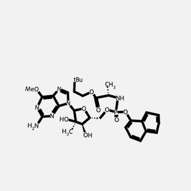 COc1nc(N)nc2c1ncn2C1O[C@H](COP(=O)(N[C@@H](C)C(=O)OCCC(C)(C)C)Oc2cccc3ccccc23)[C@@H](O)[C@@]1(C)O